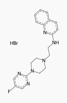 Br.Fc1cnc(N2CCN(CCNc3ccc4ccccc4n3)CC2)nc1